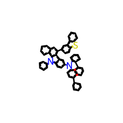 c1ccc(-c2ccc(N(c3ccc4c(c3)c3c(-c5ccc6sc7ccccc7c6c5)cc5ccccc5c3n4-c3ccccc3)c3ccccc3-c3ccccc3)cc2)cc1